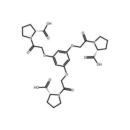 O=C(O)[C@H]1CCCN1C(=O)COc1cc(OCC(=O)N2CCC[C@@H]2C(=O)O)cc(OCC(=O)N2CCC[C@@H]2C(=O)O)c1